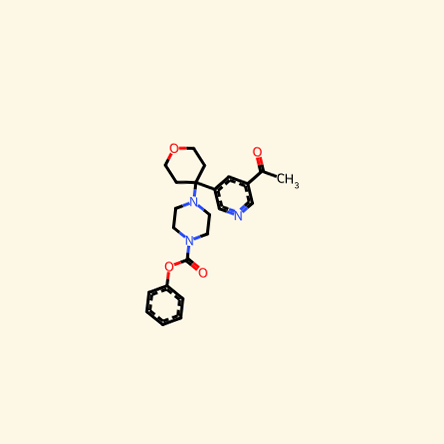 CC(=O)c1cncc(C2(N3CCN(C(=O)Oc4ccccc4)CC3)CCOCC2)c1